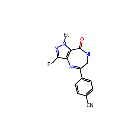 CCn1nc(C(C)C)c2c1C(=O)NCC(c1ccc(C#N)cc1)=N2